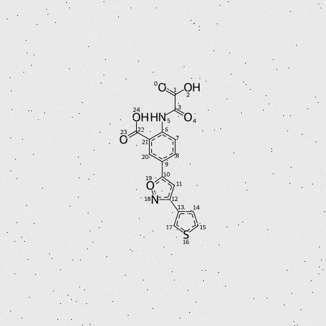 O=C(O)C(=O)Nc1ccc(-c2cc(-c3ccsc3)no2)cc1C(=O)O